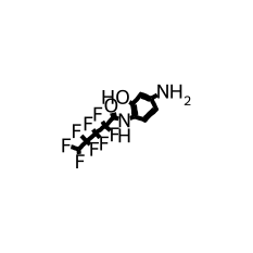 Nc1ccc(NC(=O)C(F)(F)C(F)(F)C(F)(F)C(F)F)c(O)c1